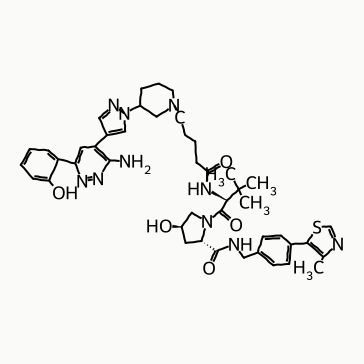 Cc1ncsc1-c1ccc(CNC(=O)[C@@H]2C[C@@H](O)CN2C(=O)[C@@H](NC(=O)CCCCN2CCCC(n3cc(-c4cc(-c5ccccc5O)nnc4N)cn3)C2)C(C)(C)C)cc1